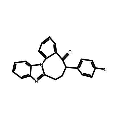 O=C1c2ccccc2-n2c(nc3ccccc32)CCC1c1ccc(Cl)cc1